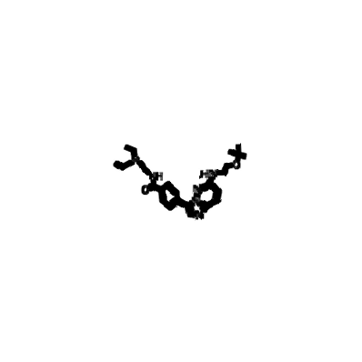 CCN(CC)CCNC(=O)c1ccc(-c2cnc3ccc(NCCOC(C)(C)C)nn23)cc1